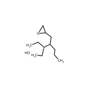 CCCC(CC1CO1)N(CC)CC.Cl